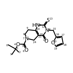 CC(C)(C)OC(=O)N1CCc2[nH]c(=S)n(Cc3ccco3)c(=O)c2C1